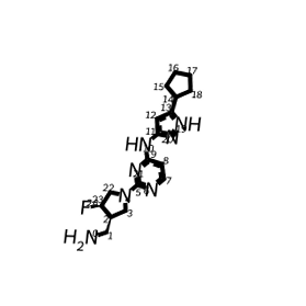 NC[C@@H]1CN(c2nccc(Nc3cc(C4CCCC4)[nH]n3)n2)C[C@@H]1F